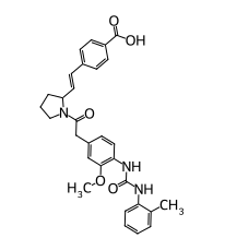 COc1cc(CC(=O)N2CCCC2/C=C/c2ccc(C(=O)O)cc2)ccc1NC(=O)Nc1ccccc1C